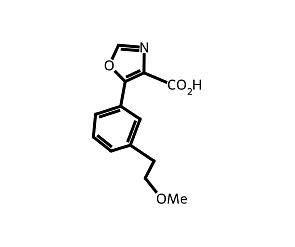 COCCc1cccc(-c2ocnc2C(=O)O)c1